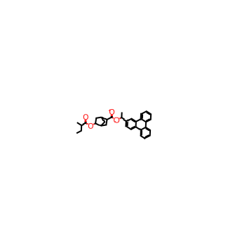 CCC(C)C(=O)OC1CC2CC1CC2C(=O)OC(C)c1ccc2c3ccccc3c3ccccc3c2c1